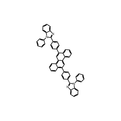 c1ccc(-n2c(-c3ccc(-c4cc5c6ccccc6c(-c6ccc(-c7nc8ccccc8n7-c7ccccc7)cc6)cc5c5ccccc45)cc3)nc3ccccc32)cc1